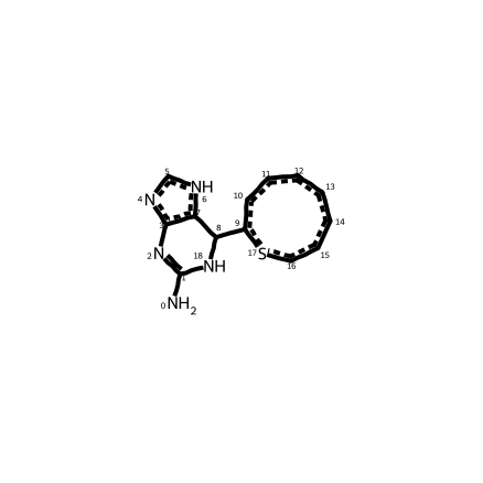 NC1=Nc2nc[nH]c2C(c2cccccccs2)N1